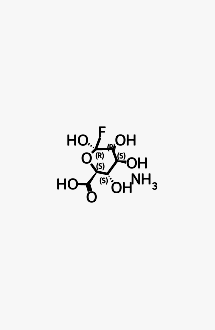 N.O=C(O)[C@H]1O[C@@](O)(F)[C@H](O)[C@@H](O)[C@@H]1O